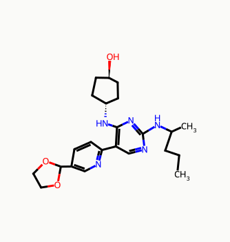 CCCC(C)Nc1ncc(-c2ccc(C3OCCO3)cn2)c(N[C@H]2CC[C@H](O)CC2)n1